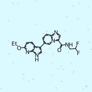 CCOc1ccc2c(-c3ccc4ncc(C(=O)NCC(F)F)n4c3)c[nH]c2n1